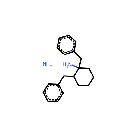 N.NC1(Cc2ccccc2)CCCCC1Cc1ccccc1